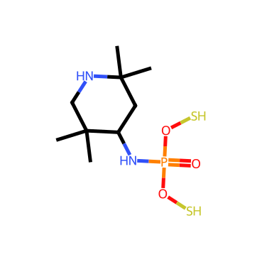 CC1(C)CC(NP(=O)(OS)OS)C(C)(C)CN1